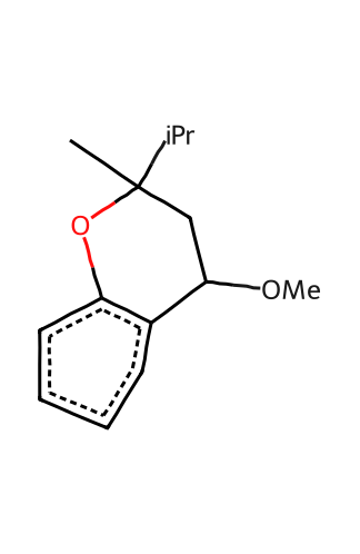 COC1CC(C)(C(C)C)Oc2ccccc21